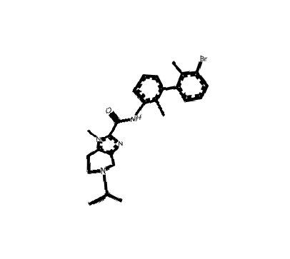 Cc1c(Br)cccc1-c1cccc(NC(=O)c2nc3c(n2C)CCN(C(C)C)C3)c1C